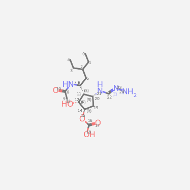 CCC(CC)CC(NC(C)=O)[C@H]1[C@@H](O)[C@H](OC(=O)O)C[C@H]1N/C=N/N